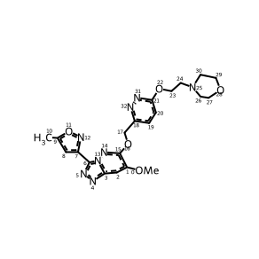 COc1cc2nnc(-c3cc(C)on3)n2nc1OCc1ccc(OCCN2CCOCC2)nn1